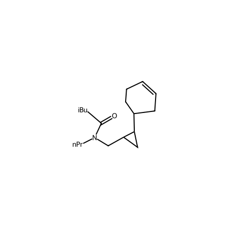 CCCN(CC1CC1C1CC=CCC1)C(=O)C(C)CC